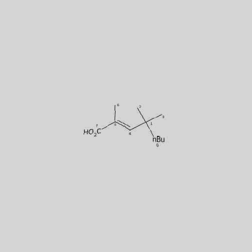 CCCCC(C)(C)/C=C(\C)C(=O)O